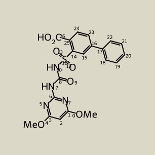 COc1cc(OC)nc(NC(=O)NS(=O)(=O)c2cc(-c3ccccc3)ccc2C(=O)O)n1